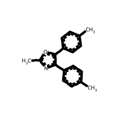 Cc1ccc(-c2nc(C)oc2-c2ccc(C)cc2)cc1